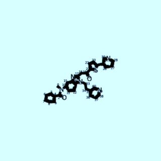 CN(C(=O)c1ccccc1)c1ccc2c(c1)nc(CC(=O)c1ccc(-c3cccnc3)s1)n2CCc1cccnc1